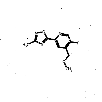 COCc1cc(-c2nc(C)no2)ncc1F